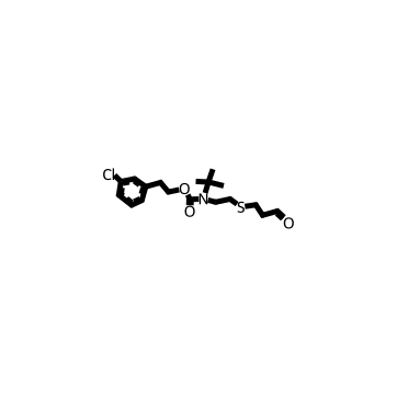 CC(C)(C)N(CCSCCC=O)C(=O)OCCc1cccc(Cl)c1